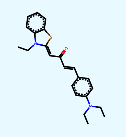 CCN(CC)c1ccc(/C=C/C(=O)/C=C2\Sc3ccccc3N2CC)cc1